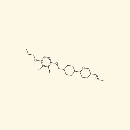 C/C=C/C1CCC(C2CCC(COc3ccc(OCCC)c(F)c3F)CC2)OC1